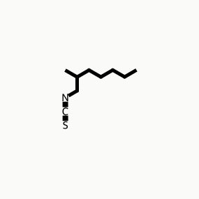 CCCCCC(C)CN=C=S